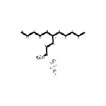 CCCCCC(CC[CH2][Sn+3])CCCCC.[F-].[F-].[F-]